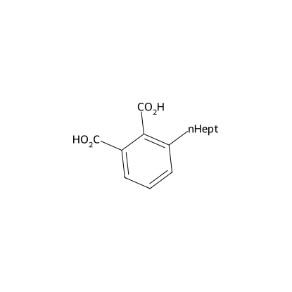 CCCCCCCc1cccc(C(=O)O)c1C(=O)O